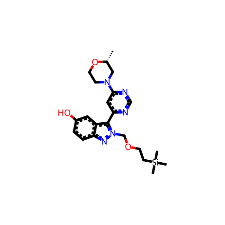 C[C@@H]1CN(c2cc(-c3c4cc(O)ccc4nn3COCC[Si](C)(C)C)ncn2)CCO1